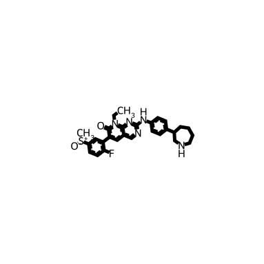 CCn1c(=O)c(-c2cc([S+](C)[O-])ccc2F)cc2cnc(Nc3ccc(C4CCCCNC4)cc3)nc21